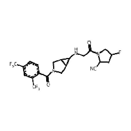 N#CC1CC(F)CN1C(=O)CNC1C2CN(C(=O)c3ccc(C(F)(F)F)cc3C(F)(F)F)CC21